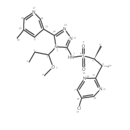 CCC(OC)n1c(NS(=O)(=O)[C@@H](C)[C@H](C)c2ncc(Cl)cn2)nnc1-c1cncc(C)c1